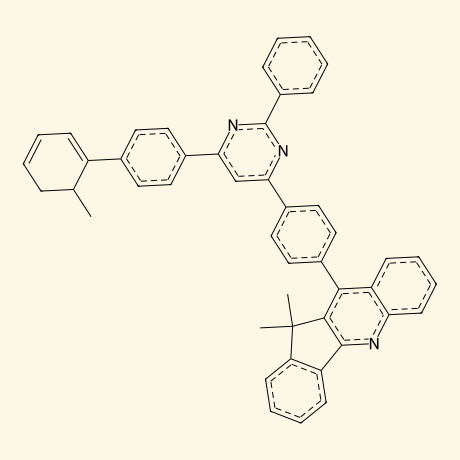 CC1CC=CC=C1c1ccc(-c2cc(-c3ccc(-c4c5c(nc6ccccc46)-c4ccccc4C5(C)C)cc3)nc(-c3ccccc3)n2)cc1